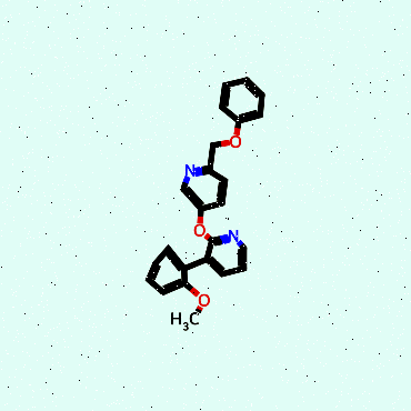 COc1ccccc1-c1cccnc1Oc1ccc(COc2ccccc2)nc1